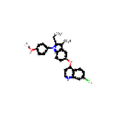 O=C(O)Cc1c(C(=O)O)c2cc(Oc3ccnc4cc(Cl)ccc34)ccc2n1-c1ccc(OC(F)(F)F)cc1